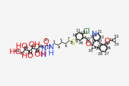 O=C(NCCCCCSc1ccc(Cl)c(COC2(c3cnccc3-c3ccccc3OC3CC3)CC2)c1)NCC(O)C(O)C(O)C(O)CO